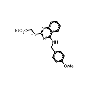 CCOC(=O)CNc1nc(NCc2ccc(OC)cc2)c2ccccc2n1